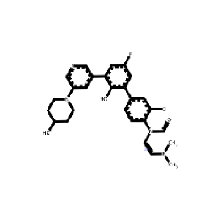 CN(C)/C=C\N(C=O)c1ccc(-c2cc(F)cc(-c3cncc(N4CCC(O)CC4)c3)c2O)cc1Cl